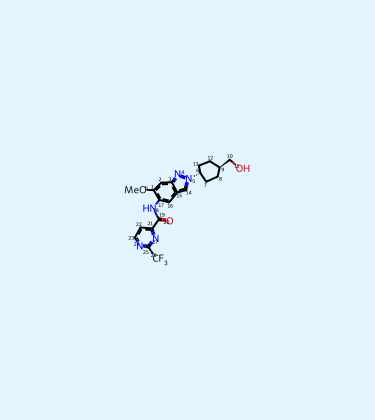 COc1cc2nn([C@H]3CC[C@H](CO)CC3)cc2cc1NC(=O)c1ccnc(C(F)(F)F)n1